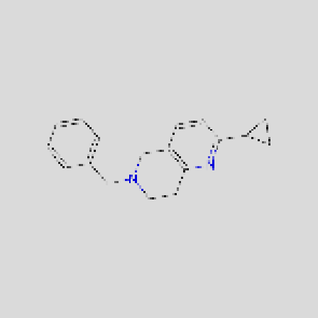 c1ccc(CN2CCc3nc(C4CC4)ccc3C2)cc1